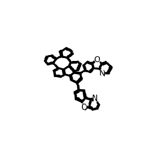 c1ccc2c(c1)-c1ccccc1-c1cccc(-c3cc(-c4ccc5oc6cccnc6c5c4)cc(-c4ccc5oc6cccnc6c5c4)c3)c1-c1ccccc1-2